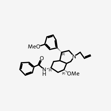 C=CCN1CC2C(C[C@@H](NC(=O)c3ccccc3)C[C@H]2OC)[C@H](c2cccc(OC)c2)C1